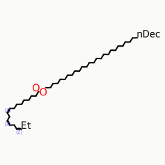 CC/C=C\C/C=C\C/C=C\CCCCCCCC(=O)OCCCCCCCCCCCCCCCCCCCCCCCCCCCCCCCCCCCC